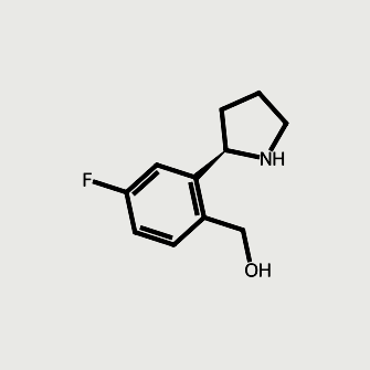 OCc1ccc(F)cc1[C@H]1CCCN1